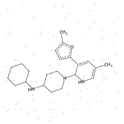 CC1=CNC(N2CCC(NC3CCCCC3)CC2)C(c2ccc(C)o2)=C1